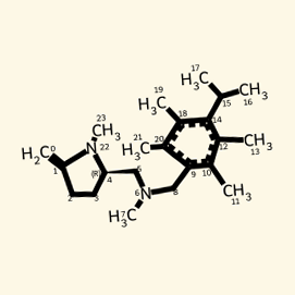 C=C1CC[C@H](CN(C)Cc2c(C)c(C)c(C(C)C)c(C)c2C)N1C